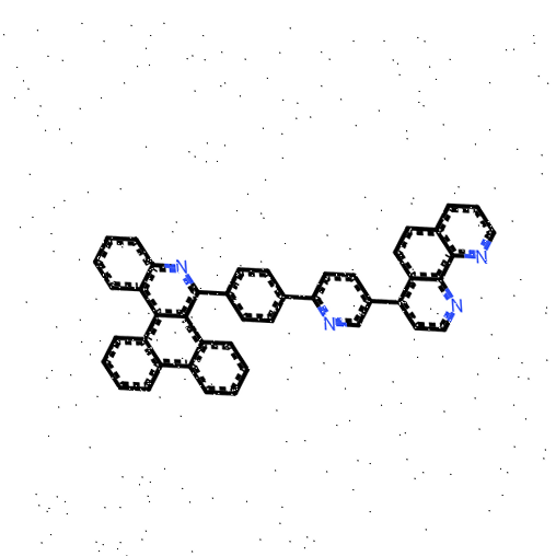 c1cnc2c(c1)ccc1c(-c3ccc(-c4ccc(-c5nc6ccccc6c6c7ccccc7c7ccccc7c56)cc4)nc3)ccnc12